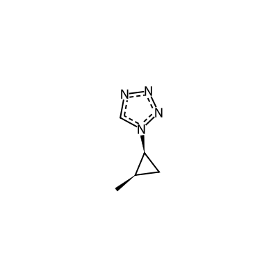 C[C@@H]1C[C@@H]1n1cnnn1